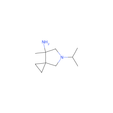 CC(C)N1CC(C)(N)C2(CC2)C1